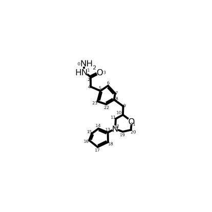 NNC(=O)Cc1ccc(CC2CN(c3ccccc3)CCO2)cc1